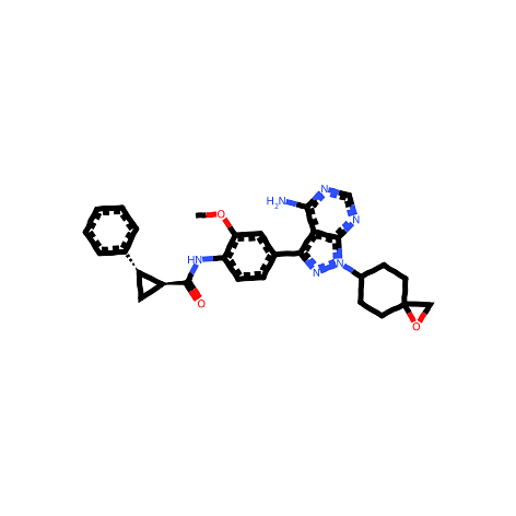 COc1cc(-c2nn(C3CCC4(CC3)CO4)c3ncnc(N)c23)ccc1NC(=O)[C@H]1C[C@@H]1c1ccccc1